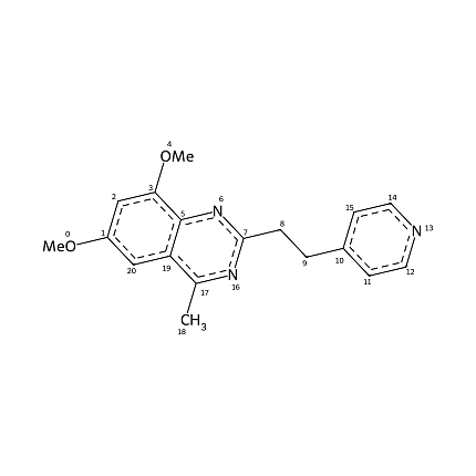 COc1cc(OC)c2nc(CCc3ccncc3)nc(C)c2c1